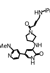 CNc1cc(-c2c[nH]c(=O)c(N[C@H]3CCN(C(=O)/C=C/CNC(C)C)C3)c2)ccn1